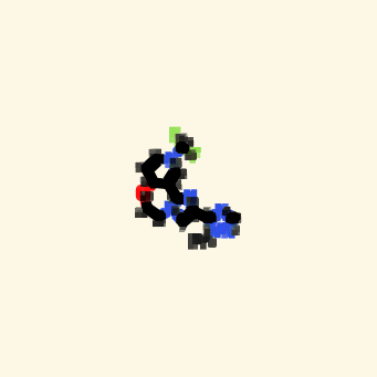 CC(C)n1ncnc1-c1cn2c(n1)C1=CN(C(F)F)C=CC1OCC2